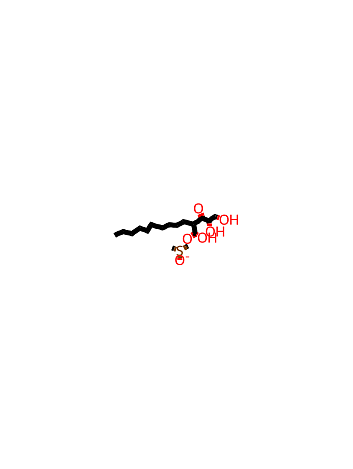 CCCCCCCCCCC(C(=O)O)C(=O)C(O)CO.C[S+](C)[O-]